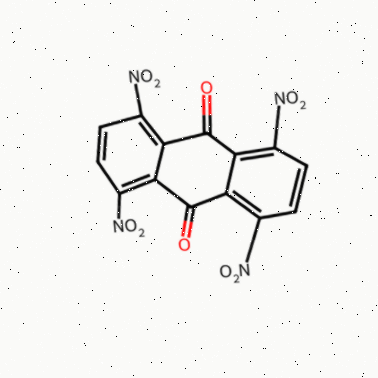 O=C1c2c([N+](=O)[O-])ccc([N+](=O)[O-])c2C(=O)c2c([N+](=O)[O-])ccc([N+](=O)[O-])c21